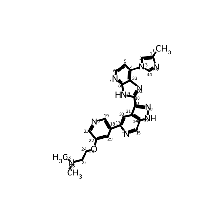 Cc1cn(-c2ccnc3[nH]c(-c4n[nH]c5cnc(-c6cncc(OCCN(C)C)c6)cc45)nc23)cn1